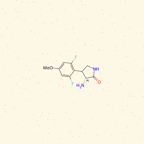 COc1cc(F)c(C2CNC(=O)[C@@H]2N)c(F)c1